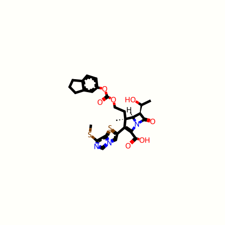 CSc1ncn2cc(C3=C(C(=O)O)N4C(=O)[C@H](C(C)O)[C@@H]4[C@]3(C)CCOC(=O)Oc3ccc4c(c3)CCC4)sc12